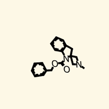 CN1CC2(Cc3ccccc3N2C(=O)OCc2ccccc2)C1